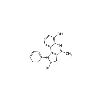 Cc1nc2c(O)cccc2c2c1CC(Br)N2c1ccccc1